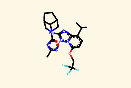 Cc1noc(N2CC3CCC(C2)C3Nc2nc3c(C(C)C)ccc(OCC(F)(F)F)n3n2)n1